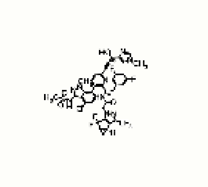 Cn1cnc([C@H](O)C#Cc2ccc(-c3ccc(Cl)c4c(NS(C)(=O)=O)nn(C)c34)c([C@H](Cc3cc(F)cc(F)c3)NC(=O)Cn3nc(C(F)(F)F)c4c3C(F)(F)C3C[C@H]43)n2)c1